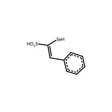 O=S(=O)(O)C([SeH])=Cc1ccccc1